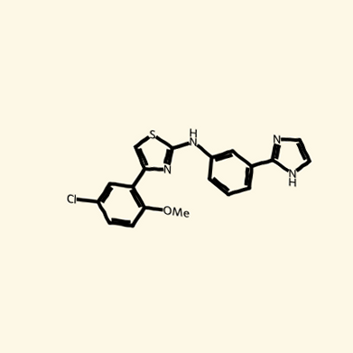 COc1ccc(Cl)cc1-c1csc(Nc2cccc(-c3ncc[nH]3)c2)n1